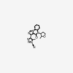 Cc1c(-c2ncn3c2c(=O)n(C2CCOC2C)c2ccccc23)nnn1C#N